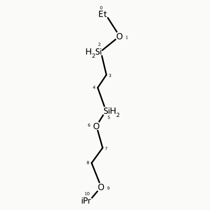 CCO[SiH2]CC[SiH2]OCCOC(C)C